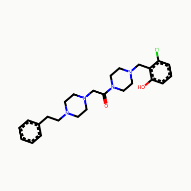 O=C(CN1CCN(CCc2ccccc2)CC1)N1CCN(Cc2c(O)cccc2Cl)CC1